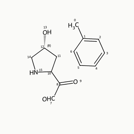 Cc1ccccc1.O=CC(=O)C1C[C@@H](O)CN1